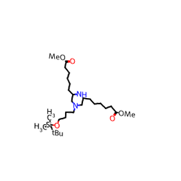 COC(=O)CCCCCC1CN(CCCCO[Si](C)(C)C(C)(C)C)CC(CCCCCC(=O)OC)N1